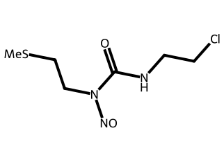 CSCCN(N=O)C(=O)NCCCl